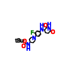 CC(C)(C)OC(=O)NC1CCN(c2ccc(NC3CCC(=O)NC3=O)cc2F)CC1